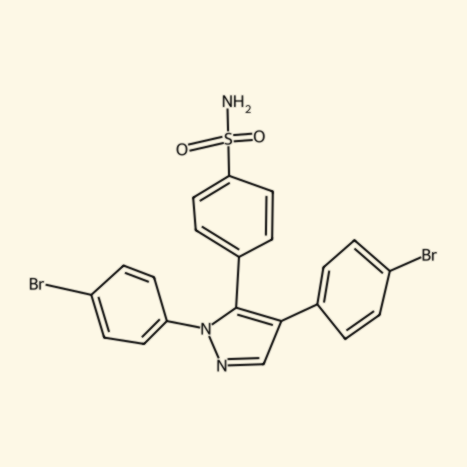 NS(=O)(=O)c1ccc(-c2c(-c3ccc(Br)cc3)cnn2-c2ccc(Br)cc2)cc1